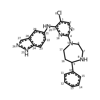 Clc1cnc(N2CCNC(c3ccccc3)CC2)nc1Nc1ccc2[nH]ncc2c1